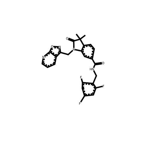 CC1(C)C(=O)N(Cc2noc3ncccc23)c2cc(C(=O)NCc3c(F)cc(F)cc3F)ccc21